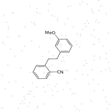 COc1cccc(CCc2ccccc2C#N)c1